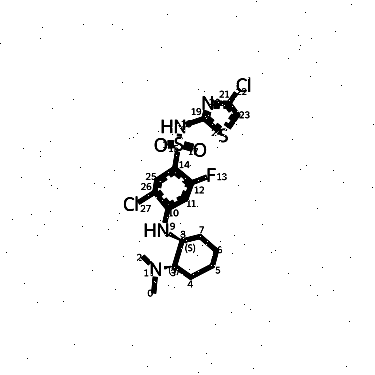 CN(C)[C@H]1CCCC[C@@H]1Nc1cc(F)c(S(=O)(=O)Nc2nc(Cl)cs2)cc1Cl